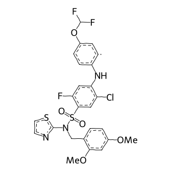 COc1ccc(CN(c2nccs2)S(=O)(=O)c2cc(Cl)c(Nc3[c]cc(OC(F)F)cc3)cc2F)c(OC)c1